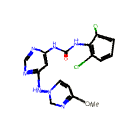 COC1=NCN(Nc2cc(NC(=O)Nc3c(Cl)cccc3Cl)ncn2)C=C1